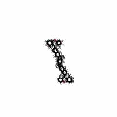 Cc1cccc(C)c1N(c1ccc2cc3c(cc2c1)oc1cc2c(cc13)oc1cc3cc(N(c4c(C)cccc4C)c4c(C)cccc4C)ccc3cc12)c1c(C)cccc1C